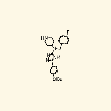 CC(C)COc1ccc(-c2nnc(N(Cc3ccc(F)cc3)C3CCNCC3)[nH]2)cc1